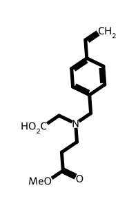 C=Cc1ccc(CN(CCC(=O)OC)CC(=O)O)cc1